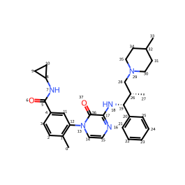 Cc1ccc(C(=O)NC2CC2)cc1-n1ccnc(N[C@@H](c2ccccc2)[C@@H](C)CN2CCC(C)CC2)c1=O